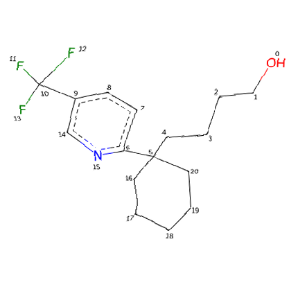 OCCCCC1(c2ccc(C(F)(F)F)cn2)CCCCC1